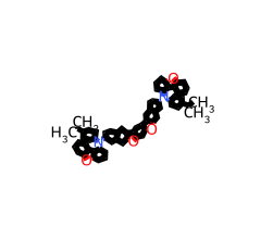 CC(C)c1ccc(N(c2ccc3cc4c(cc3c2)oc2cc3oc5cc6cc(N(c7ccc(C(C)C)cc7)c7cccc8oc9ccccc9c78)ccc6cc5c3cc24)c2cccc3oc4ccccc4c23)cc1